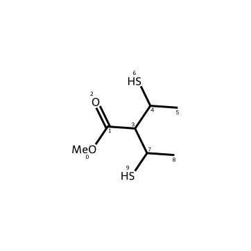 COC(=O)C(C(C)S)C(C)S